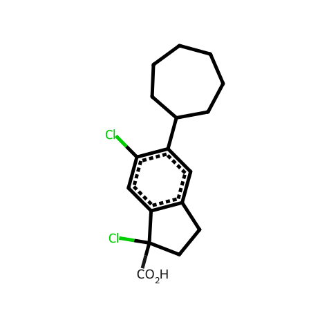 O=C(O)C1(Cl)CCc2cc(C3CCCCCC3)c(Cl)cc21